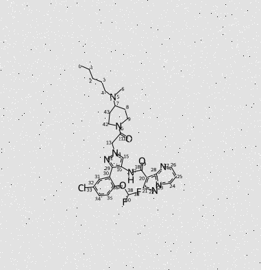 CC[CH]C[CH]N(C)C1CCN(C(=O)Cn2cc(NC(=O)c3cnn4cccnc34)c(-c3cc(Cl)ccc3OC(F)F)n2)CC1